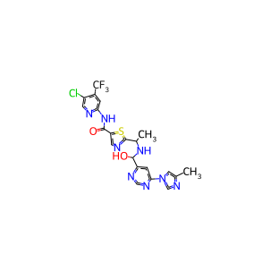 Cc1cn(-c2cc(C(O)NC(C)c3ncc(C(=O)Nc4cc(C(F)(F)F)c(Cl)cn4)s3)ncn2)cn1